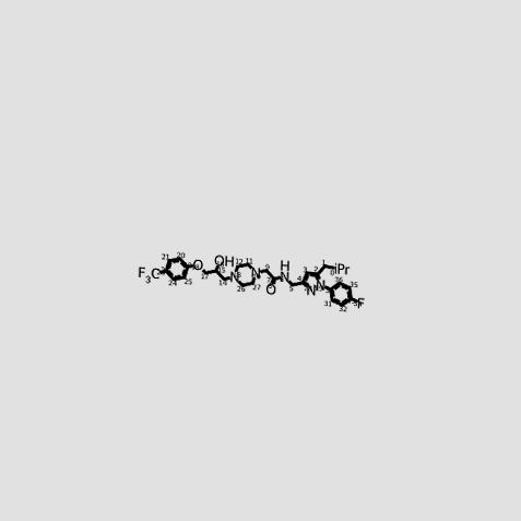 CC(C)Cc1cc(CNC(=O)CN2CCN(CC(O)COc3ccc(C(F)(F)F)cc3)CC2)nn1-c1ccc(F)cc1